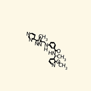 COc1ncccc1[C@H](C)NC(=O)c1cccc(NCc2nnc(-c3ccncn3)n2C)c1